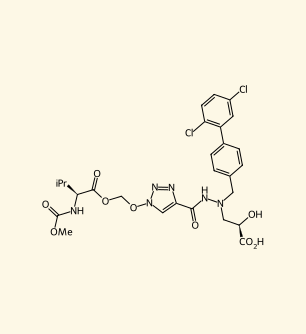 COC(=O)N[C@H](C(=O)OCOn1cc(C(=O)NN(Cc2ccc(-c3cc(Cl)ccc3Cl)cc2)C[C@@H](O)C(=O)O)nn1)C(C)C